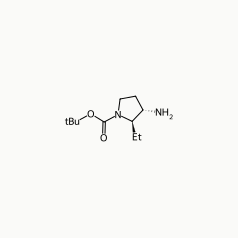 CC[C@@H]1[C@@H](N)CCN1C(=O)OC(C)(C)C